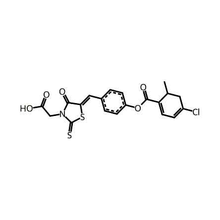 CC1CC(Cl)=CC=C1C(=O)Oc1ccc(/C=C2\SC(=S)N(CC(=O)O)C2=O)cc1